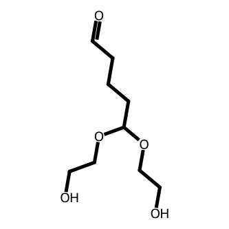 O=CCCCC(OCCO)OCCO